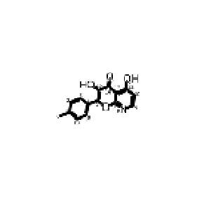 Cc1ccc(-c2oc3nccc(O)c3c(=O)c2O)cc1